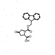 O=C1CC(C(=O)O)N(C(=O)OCC2c3ccccc3-c3ccccc32)C1